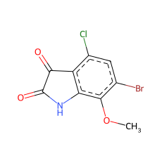 COc1c(Br)cc(Cl)c2c1NC(=O)C2=O